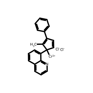 CC1=C(c2ccccc2)C=C[C]1([Cr+2])c1cccc2cccnc12.[Cl-].[Cl-]